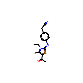 CCn1c(C)c(C(C)=O)sc1=Nc1ccc(CC#N)cc1